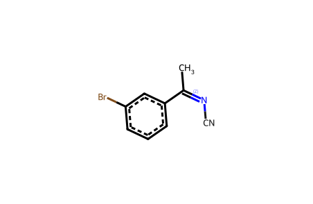 C/C(=N/C#N)c1cccc(Br)c1